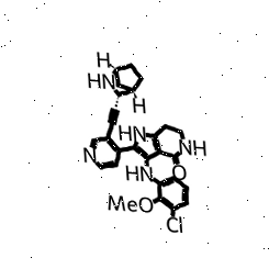 COc1c(Cl)cccc1Nc1c(-c2ccncc2C#C[C@@H]2N[C@H]3CC[C@@H]2C3)[nH]c2c1C(=O)NCC2